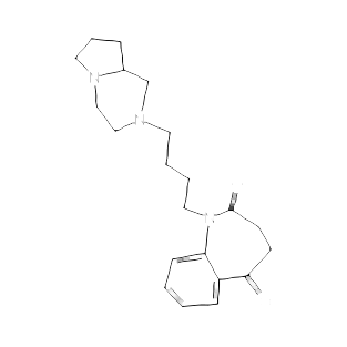 O=C1CCC(=O)N(CCCCN2CCN3CCCC3C2)c2ccccc21